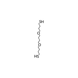 SCCCCOCCCCOCCCCS